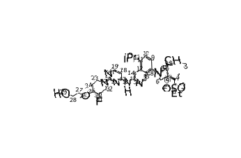 CCS(=O)(=O)C[C@H]1CN(c2ccc(C(C)C)c3cc(Nc4ccnc(N5CCC(OCCO)C(F)C5)n4)ncc23)[C@@H]1C